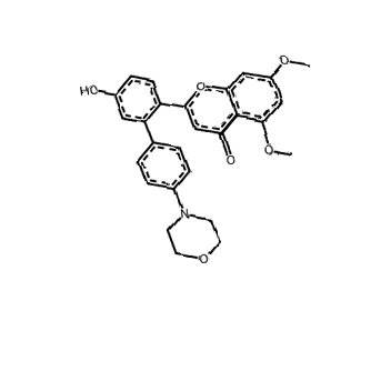 COc1cc(OC)c2c(=O)cc(-c3ccc(O)cc3-c3ccc(N4CCOCC4)cc3)oc2c1